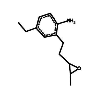 CCc1ccc(N)c(CCC2OC2C)c1